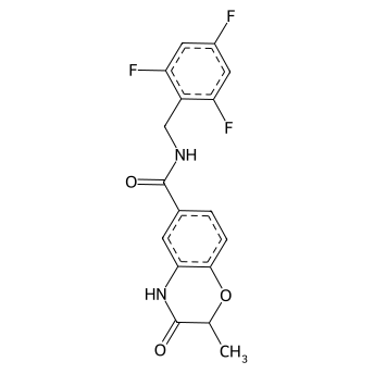 CC1Oc2ccc(C(=O)NCc3c(F)cc(F)cc3F)cc2NC1=O